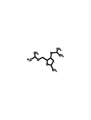 CC(C)OCC1OC(C)CC1OC(C)C